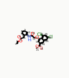 CCOC(=O)Cc1ccccc1NC(=O)COc1cc(C(=O)OC)cc2cc(Cl)cc(Cl)c12